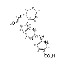 CCC(=O)c1cc2cnc(Nc3ccc(C(=O)O)cn3)nc2n1C1CCCCCC1